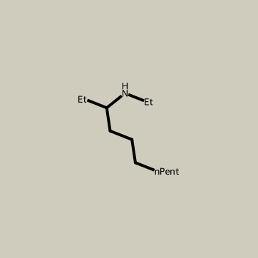 [CH2]CC(CCCCCCCC)NCC